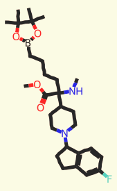 CNC(CCCCB1OC(C)(C)C(C)(C)O1)(C(=O)OC)C1CCN(C2CCc3cc(F)ccc32)CC1